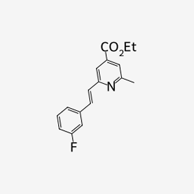 CCOC(=O)c1cc(C)nc(/C=C/c2cccc(F)c2)c1